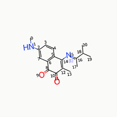 CNc1ccc2c(c1)C(=O)C(=O)C(C)=C2/N=C(\C)C(C)C